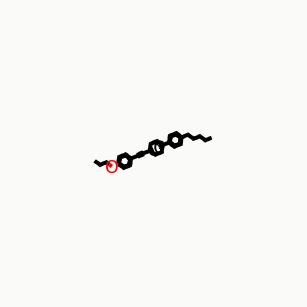 CCCCCc1ccc(C23CCC(C#Cc4ccc(OCCC)cc4)(CC2)CC3)cc1